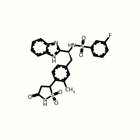 Cc1cc(C[C@H](NS(=O)(=O)c2cccc(F)c2)c2nc3ccccc3[nH]2)ccc1C1CC(=O)NS1(=O)=O